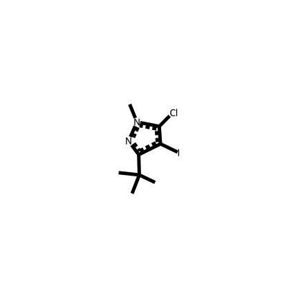 Cn1nc(C(C)(C)C)c(I)c1Cl